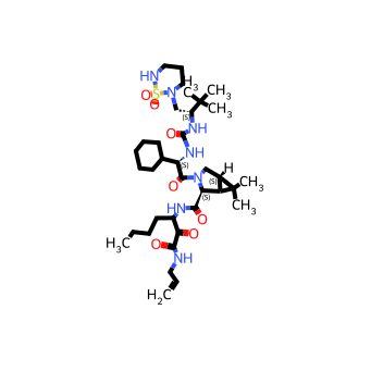 C=CCNC(=O)C(=O)C(CCCC)NC(=O)[C@@H]1C2[C@H](CN1C(=O)[C@@H](NC(=O)N[C@H](CN1CCCNS1(=O)=O)C(C)(C)C)C1CCCCC1)C2(C)C